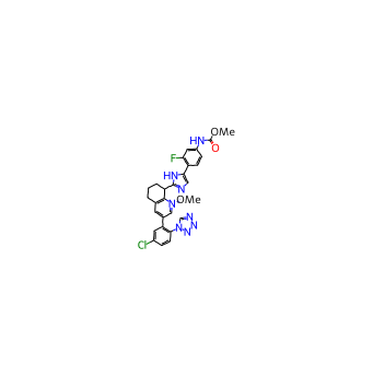 COC(=O)Nc1ccc(-c2cnc(C3CCCc4cc(-c5cc(Cl)ccc5-n5cnnn5)c[n+](OC)c43)[nH]2)c(F)c1